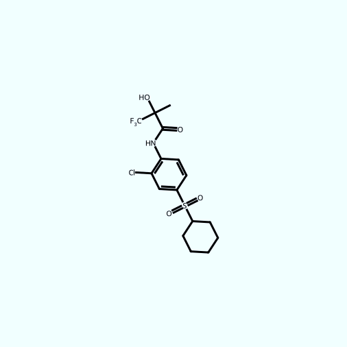 CC(O)(C(=O)Nc1ccc(S(=O)(=O)C2CCCCC2)cc1Cl)C(F)(F)F